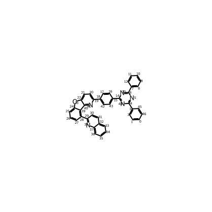 c1ccc(-c2nc(-c3ccccc3)nc(-c3ccc(-c4ccc5oc6cccc(-c7ccc8ccccc8n7)c6c5n4)cc3)n2)cc1